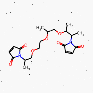 CC(COC(C)C(C)N1C(=O)C=CC1=O)OCCOCC(C)N1C(=O)C=CC1=O